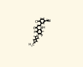 CN1CC2(C1)CN(c1c(F)cc3[nH]c(-c4cc(C#N)ccc4Cl)cc(=O)c3c1F)C2